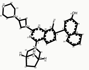 Oc1cc(-c2ccc3c(N4C[C@H]5CC[C@@H](C4)N5)nc(N4CC(N5CCOCC5)C4)nc3c2F)c2ccccc2c1